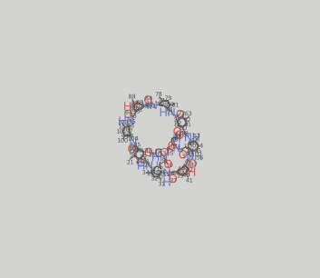 C=CC(=O)NCC1(CNC(=O)C=C)OCCOc2c3cc(C)cc2C(=O)Nc2cc(c(C)cc2C)NC(=O)c2cc(C)cc(c2O)C(=O)Nc2cc(c(C)cc2C)NC(=O)c2cc(C)cc(c2OCCO1)C(=O)Nc1cc(c(C)cc1C)NC(=O)c1cc(C)cc(c1O)C(=O)Nc1cc(c(C)cc1C)NC3=O